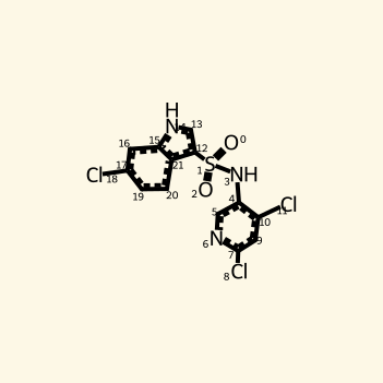 O=S(=O)(Nc1cnc(Cl)cc1Cl)c1c[nH]c2cc(Cl)ccc12